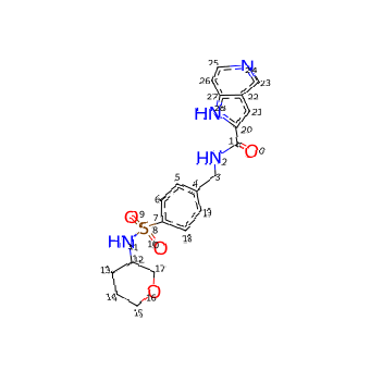 O=C(NCc1ccc(S(=O)(=O)NC2CCCOC2)cc1)c1cc2cnccc2[nH]1